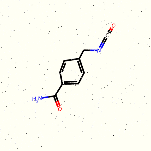 NC(=O)c1ccc(CN=C=O)cc1